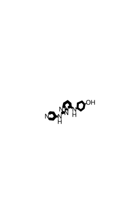 O[C@H]1CC[C@@H](Nc2cccc3nc(Nc4ccncc4)nn23)CC1